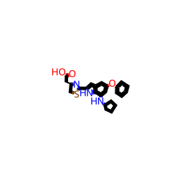 O=C(O)C[C@@H]1CSC(c2cc3cc(Oc4ccccc4)cc(NC4CCCC4)c3[nH]2)=N1